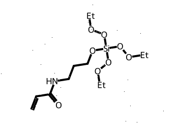 C=CC(=O)NCCCO[Si](OOCC)(OOCC)OOCC